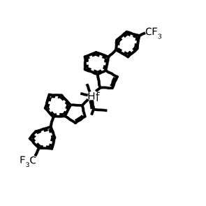 C[C](C)=[Hf]([CH3])([CH3])([CH]1C=Cc2c(-c3ccc(C(F)(F)F)cc3)cccc21)[CH]1C=Cc2c(-c3ccc(C(F)(F)F)cc3)cccc21